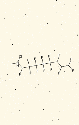 C[SiH](Cl)C(F)C(F)(F)C(F)(F)C(F)(F)C(F)(F)C(F)C(F)C(F)F